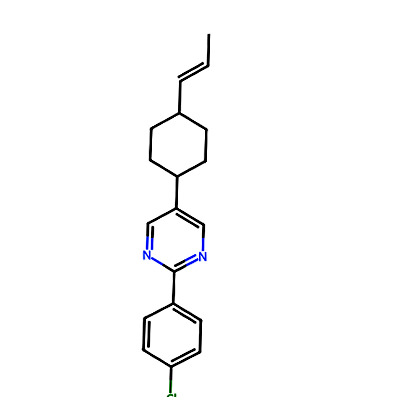 C/C=C/C1CCC(c2cnc(-c3ccc(Cl)cc3)nc2)CC1